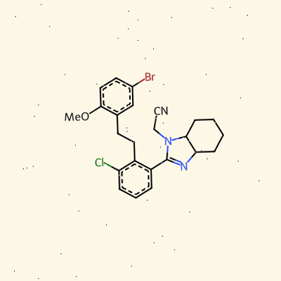 COc1ccc(Br)cc1CCc1c(Cl)cccc1C1=NC2CCCCC2N1CC#N